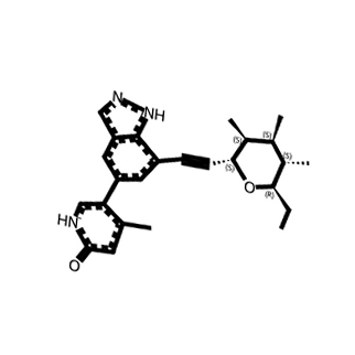 CC[C@H]1O[C@H](C#Cc2cc(-c3c[nH]c(=O)cc3C)cc3cn[nH]c23)[C@@H](C)[C@@H](C)[C@@H]1C